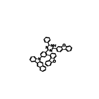 c1ccc(C2N=C(c3ccc(-n4c5ccccc5c5cc6ccccc6cc54)cc3-c3cccc4oc5ccccc5c34)N=C(c3ccc4c(c3)oc3ccccc34)N2)cc1